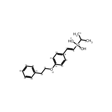 CC(C)[Si](O)(O)/C=C/c1ccc(OCCc2ccccc2)cc1